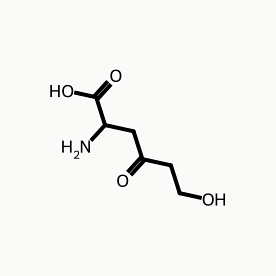 NC(CC(=O)CCO)C(=O)O